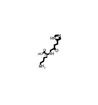 NCCCC[C@H](NCC(=O)CCc1cnc[nH]1)C(=O)O